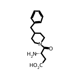 N[C@@H](CC(=O)O)C(=O)N1CCC(Cc2ccccc2)CC1